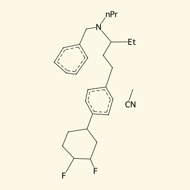 CC#N.CCCN(Cc1ccccc1)C(CC)CCc1ccc(C2CCC(F)C(F)C2)cc1